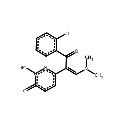 CC(C)n1nc(C(=CN(C)C)C(=O)c2ccccc2Cl)ccc1=O